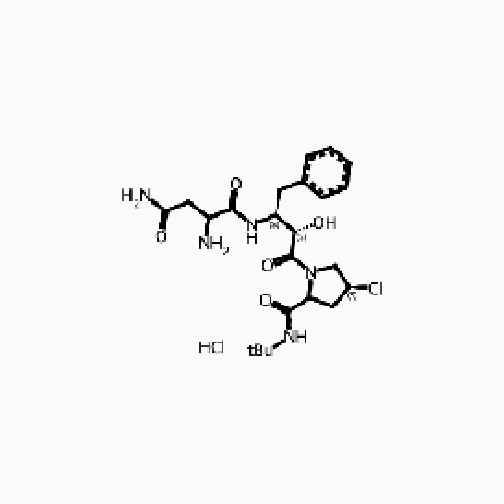 CC(C)(C)NC(=O)C1C[C@H](Cl)CN1C(=O)[C@@H](O)[C@H](Cc1ccccc1)NC(=O)C(N)CC(N)=O.Cl